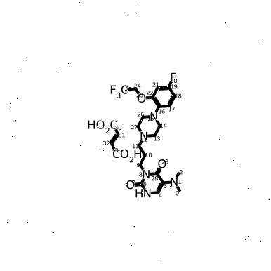 CN(C)c1c[nH]c(=O)n(CCCN2CCN(c3ccc(F)cc3OCC(F)(F)F)CC2)c1=O.O=C(O)C=CC(=O)O